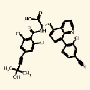 CC(C)(O)C#Cc1cc(Cl)c(C(=O)N[C@@H](Cc2ccc(-c3ccc(C#N)cc3Cl)c3ncccc23)C(=O)O)c(Cl)c1